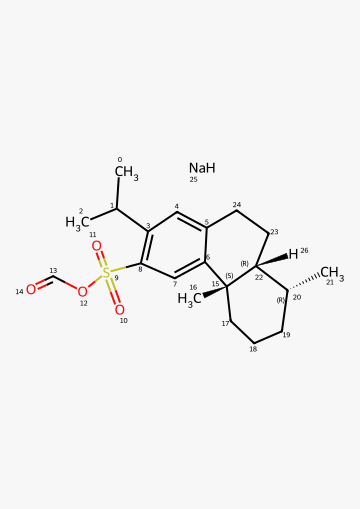 CC(C)c1cc2c(cc1S(=O)(=O)OC=O)[C@@]1(C)CCC[C@@H](C)[C@H]1CC2.[NaH]